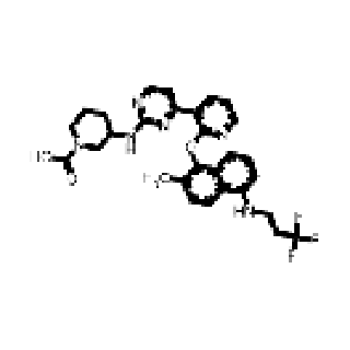 Cc1ccc2c(NCCC(F)(F)F)cccc2c1Oc1ncccc1-c1ccnc(NC2CCCN(C(=O)O)C2)n1